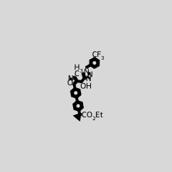 CCOC(=O)C1(c2ccc(-c3ccc(-c4onc(C)c4C(O)c4cn(Cc5cccc(C(F)(F)F)c5)nn4)cc3)cc2)CC1